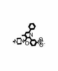 Cc1cc(-c2ccccc2)nc(-c2cccc([N+](=O)[O-])c2)c1C(=O)N1CCN(C)CC1